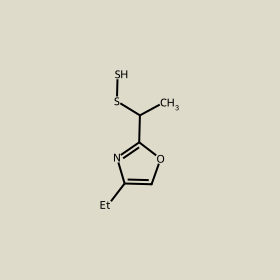 CCc1coc(C(C)SS)n1